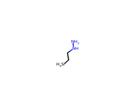 NNCC[SiH3]